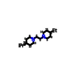 CCC1CCN(CCN2CCC(C(C)C)CC2)CC1